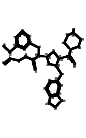 C=CCOC(=O)N(Cc1cccc(OC)c1)[C@H]1C[C@@H](C(=O)N2CCNCC2)N(Cc2ccc3c(c2)OCO3)C1